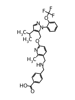 Cc1nc(OCc2c(C(C)C)cnn2-c2ccccc2OC(F)(F)F)ccc1CNCc1ccc(C(=O)O)cc1